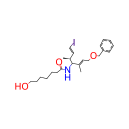 C/C(=C\COCc1ccccc1)C(NC(=O)CCCCCCO)[C@@H](C)/C=C/I